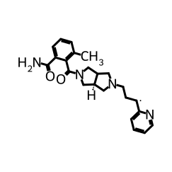 Cc1cccc(C(N)=O)c1C(=O)N1CC2CN(CC[CH]c3ccccn3)C[C@H]2C1